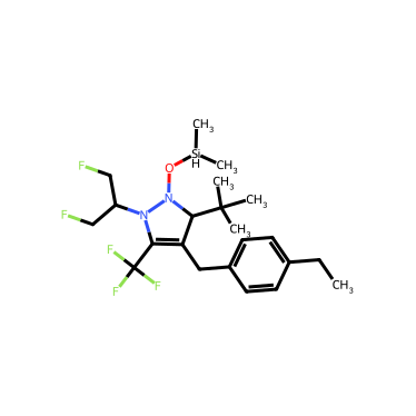 CCc1ccc(CC2=C(C(F)(F)F)N(C(CF)CF)N(O[SiH](C)C)C2C(C)(C)C)cc1